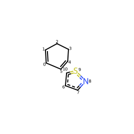 C1=CCCC=C1.c1cnsc1